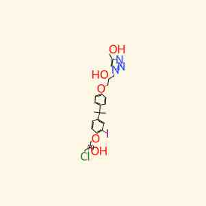 CC(C)(c1ccc(OCC(O)Cn2cc(CO)nn2)cc1)c1ccc(OC[C@@H](O)CCl)c(I)c1